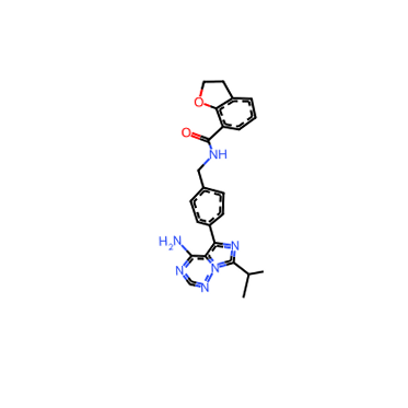 CC(C)c1nc(-c2ccc(CNC(=O)c3cccc4c3OCC4)cc2)c2c(N)ncnn12